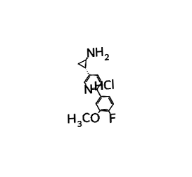 COc1cc(-c2ccc([C@@H]3C[C@H]3N)cn2)ccc1F.Cl